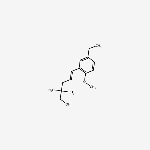 CCc1ccc(OC)c(/C=C/CC(C)(C)CO)c1